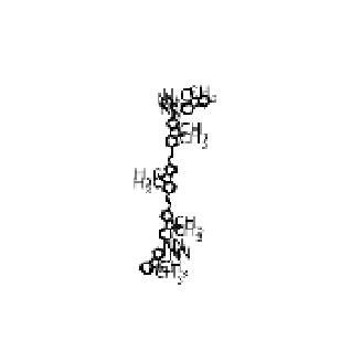 CC1(C)c2cc(/C=C/c3ccc4c(c3)C(C)(C)c3cc(N(c5ccc6c(c5)C(C)(C)c5ccccc5-6)c5ncncn5)ccc3-4)ccc2-c2ccc(/C=C/c3ccc4c(c3)C(C)(C)c3cc(N(c5ccc6c(c5)C(C)(C)c5ccccc5-6)c5ncncn5)ccc3-4)cc21